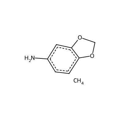 C.Nc1ccc2c(c1)OCO2